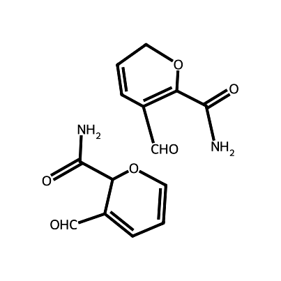 NC(=O)C1=C(C=O)C=CCO1.NC(=O)C1OC=CC=C1C=O